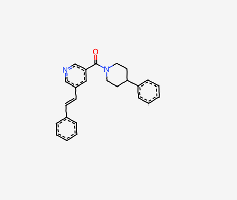 O=C(c1cncc(C=Cc2ccccc2)c1)N1CCC(c2c[c]ccc2)CC1